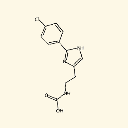 O=C(O)NCCc1c[nH]c(-c2ccc(Cl)cc2)n1